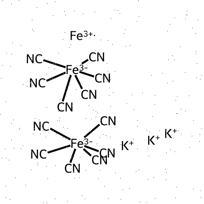 N#[C][Fe-3]([C]#N)([C]#N)([C]#N)([C]#N)[C]#N.N#[C][Fe-3]([C]#N)([C]#N)([C]#N)([C]#N)[C]#N.[Fe+3].[K+].[K+].[K+]